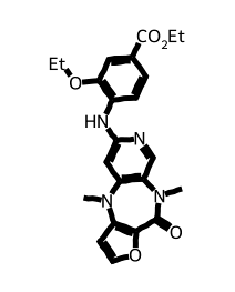 CCOC(=O)c1ccc(Nc2cc3c(cn2)N(C)C(=O)c2occc2N3C)c(OCC)c1